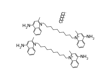 Cc1cc(N)c2ccccc2[n+]1CCCCCCCCCC[n+]1c(C)cc(N)c2ccccc21.Cc1cc(N)c2ccccc2[n+]1CCCCCCCCCC[n+]1c(C)cc(N)c2ccccc21.[Cl-].[Cl-].[Cl-].[Cl-]